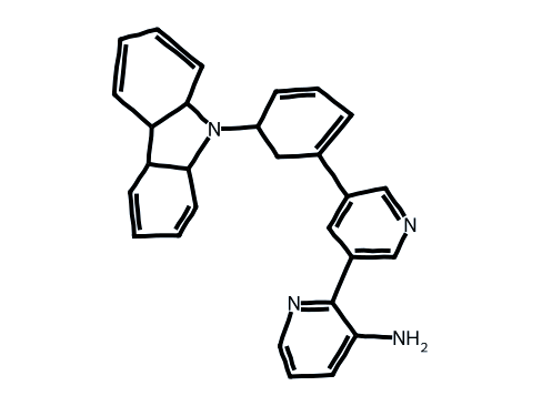 Nc1cccnc1-c1cncc(C2=CC=CC(N3C4C=CC=CC4C4C=CC=CC43)C2)c1